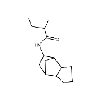 CCC(C)C(=O)NC1CC2CC1C1CCCC21